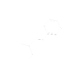 CC(CS)OCc1cccnc1